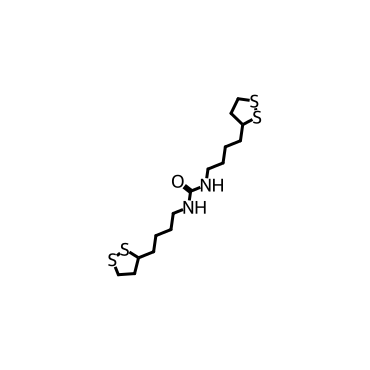 O=C(NCCCCC1CCSS1)NCCCCC1CCSS1